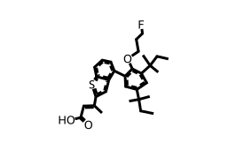 CCC(C)(C)c1cc(-c2cccc3sc(/C(C)=C/C(=O)O)cc23)c(OCCCF)c(C(C)(C)CC)c1